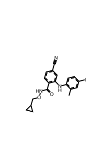 Cc1cc(I)ccc1Nc1cc(C#N)ccc1C(=O)NOCC1CC1